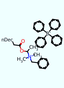 CCCCCCCCCCCC(=O)OC(C)[N+](C)(C)Cc1ccccc1.c1ccc([B-](c2ccccc2)(c2ccccc2)c2ccccc2)cc1